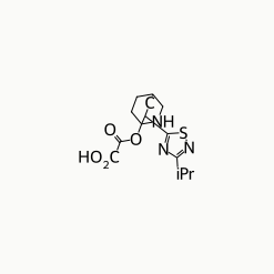 CC(C)c1nsc(C2CC3CCC2(OC(=O)C(=O)O)NC3)n1